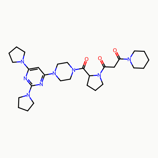 O=C(CC(=O)N1CCCC1C(=O)N1CCN(c2cc(N3CCCC3)nc(N3CCCC3)n2)CC1)N1CCCCC1